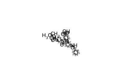 CC(C)(C)OC(=O)N1CCC(NC(=O)[C@@H]2CC[C@@H](NOCc3ccccc3)CN2c2ccc(S(=O)(=O)O)cc2)CC1